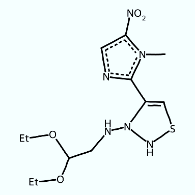 CCOC(CNN1NSC=C1c1ncc([N+](=O)[O-])n1C)OCC